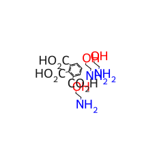 NCCO.NCCO.NCCO.O=C(O)c1cccc(C(=O)O)c1C(=O)O